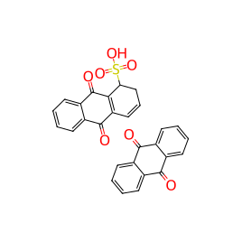 O=C1C2=C(C(=O)c3ccccc31)C(S(=O)(=O)O)CC=C2.O=C1c2ccccc2C(=O)c2ccccc21